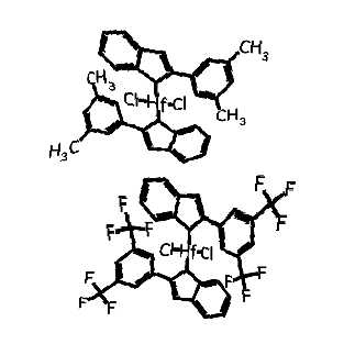 Cc1cc(C)cc(C2=Cc3ccccc3[CH]2[Hf]([Cl])([Cl])[CH]2C(c3cc(C)cc(C)c3)=Cc3ccccc32)c1.FC(F)(F)c1cc(C2=Cc3ccccc3[CH]2[Hf]([Cl])([Cl])[CH]2C(c3cc(C(F)(F)F)cc(C(F)(F)F)c3)=Cc3ccccc32)cc(C(F)(F)F)c1